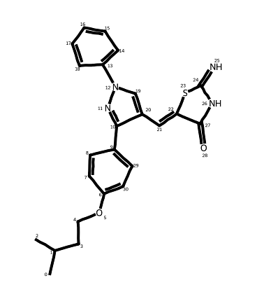 CC(C)CCOc1ccc(-c2nn(-c3ccccc3)cc2/C=C2\SC(=N)NC2=O)cc1